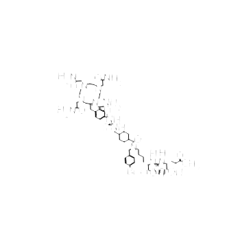 CC(=O)CC[C@@H](NC(=O)N[C@H](CCCCN(Cc1ccc(Br)cc1)C(=O)C1CCC(CNC(=S)Nc2ccc(CC3CN(CC(N)=O)CCN(CC(N)=O)CCN(CC(N)=O)CCN3CC(N)=O)cc2)CC1)C(=O)O)C(=O)O